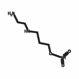 NCCNCCCO[SH](=O)=O